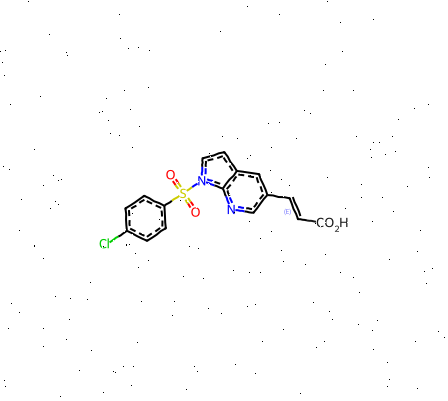 O=C(O)/C=C/c1cnc2c(ccn2S(=O)(=O)c2ccc(Cl)cc2)c1